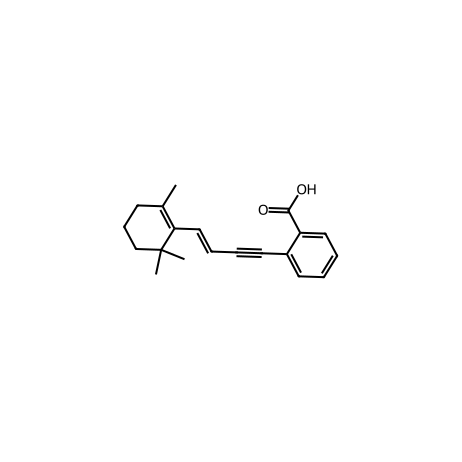 CC1=C(C=CC#Cc2ccccc2C(=O)O)C(C)(C)CCC1